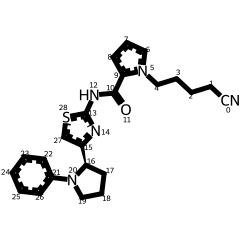 N#CCCCCn1cccc1C(=O)Nc1nc([C@H]2CCCN2c2ccccc2)cs1